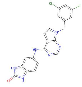 O=c1[nH]c2ccc(Nc3ncnc4c3ccn4Cc3cc(F)cc(Cl)c3)cc2[nH]1